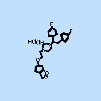 Cl.Cl.Fc1ccc(CC(c2ccc(F)cc2)N2CCN(CCOc3ccc4c(c3)OOC4)CC2)cc1